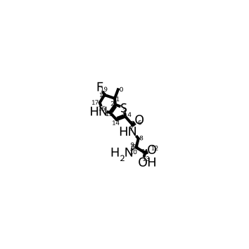 CC1c2sc(C(=O)NC[C@@H](N)C(=O)O)cc2NCC1F